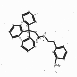 COc1cccc(CCNC(=O)CC(c2ccccc2)(c2ccccc2)c2ccccc2)c1